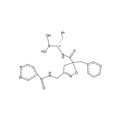 CC(C)C[C@H](NC(=O)C1(Cc2ccccc2)CC(CNC(=O)c2ccnnc2)=NO1)B(O)O